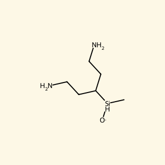 C[SiH]([O])C(CCN)CCN